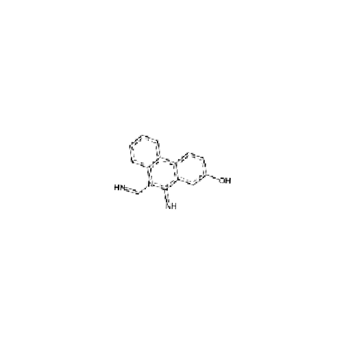 N=Cn1c(=N)c2cc(O)ccc2c2ccccc21